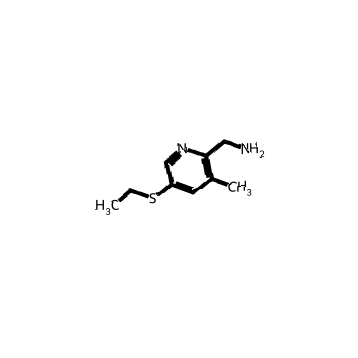 CCSc1cnc(CN)c(C)c1